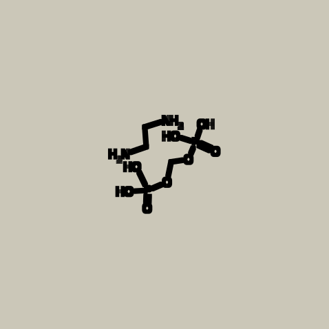 NCCN.O=P(O)(O)OCOP(=O)(O)O